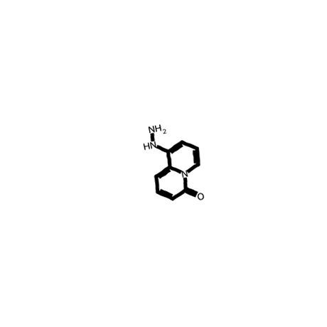 NNc1cccn2c(=O)cccc12